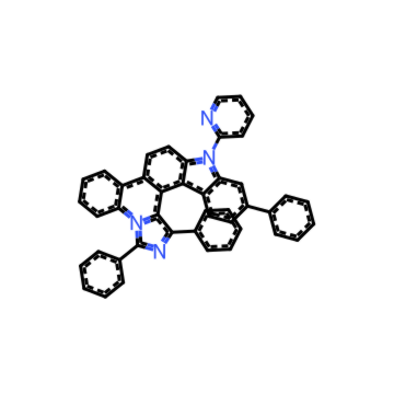 c1ccc(-c2ccc3c4c5c(ccc4n(-c4ccccn4)c3c2)c2ccccc2n2c(-c3ccccc3)nc(-c3ccccc3)c52)cc1